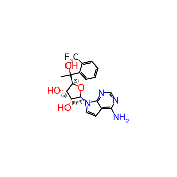 CC(O)(c1ccccc1C(F)(F)F)[C@H]1O[C@@H](n2ccc3c(N)ncnc32)[C@H](O)[C@@H]1O